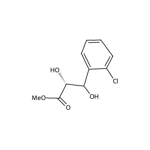 COC(=O)[C@H](O)C(O)c1ccccc1Cl